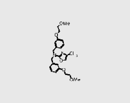 COCCOc1cccc(CN(Cc2cccc(OCCOC)c2)c2nc(C)co2)c1